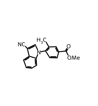 COC(=O)c1ccc(-n2cc(C#N)c3ccccc32)c(C)c1